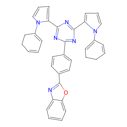 C1=CCCC(n2cccc2-c2nc(-c3ccc(-c4nc5ccccc5o4)cc3)nc(-c3cccn3C3=CCCC=C3)n2)=C1